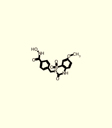 COc1ccc2c(c1)S(=O)(=O)N(Cc1ccc(C(=O)NO)cc1)C(=O)N2